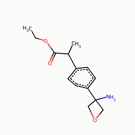 CCOC(=O)C(C)c1ccc(C2(N)COC2)cc1